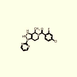 CC1C2=C(CCN1C(=O)c1ccc(Cl)cc1F)N(c1ncccn1)NN2